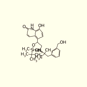 CC(C)(Cc1cccc(CO)c1)NCC(O[Si](C)(C)C(C)(C)C)c1ccc(O)c2[nH]c(=O)ccc12